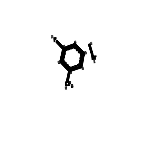 CBr.Fc1cccc(C(F)(F)F)c1